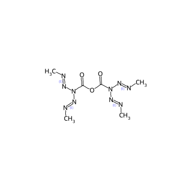 C/N=N/N(/N=N/C)C(=O)OC(=O)N(/N=N/C)/N=N/C